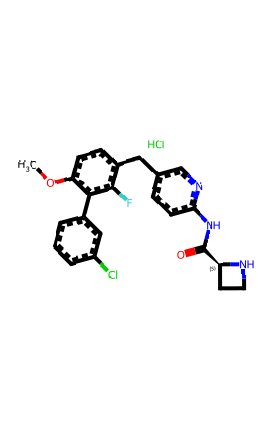 COc1ccc(Cc2ccc(NC(=O)[C@@H]3CCN3)nc2)c(F)c1-c1cccc(Cl)c1.Cl